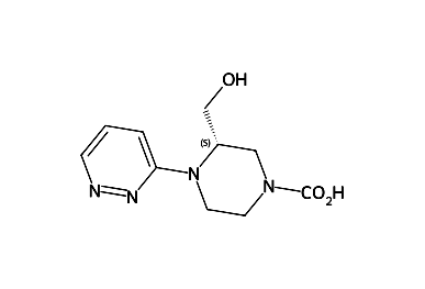 O=C(O)N1CCN(c2cccnn2)[C@H](CO)C1